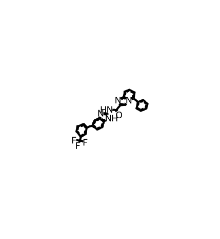 O=C(Nc1nc2cc(-c3cccc(C(F)(F)F)c3)ccc2[nH]1)c1cn2c(-c3ccccc3)cccc2n1